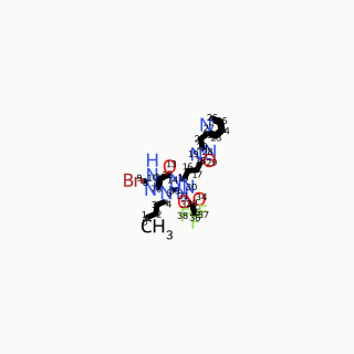 CCCCCN1c2nc(Br)[nH]c2C(=O)N2C(CCc3nc(Cc4ccccn4)no3)=NN(OC(=O)C(F)(F)F)C21